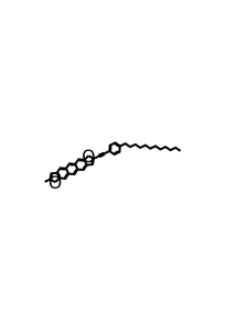 CCCCCCCCCCCCc1ccc(C#Cc2cc3cc4cc5cc6oc(C)cc6cc5cc4cc3o2)cc1